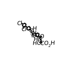 CC[C@H](C)[C@@H](COc1ccc(-c2ccc(Cl)cc2Cl)cc1)Nc1ccc(C(=O)NCC(O)C(=O)O)cc1